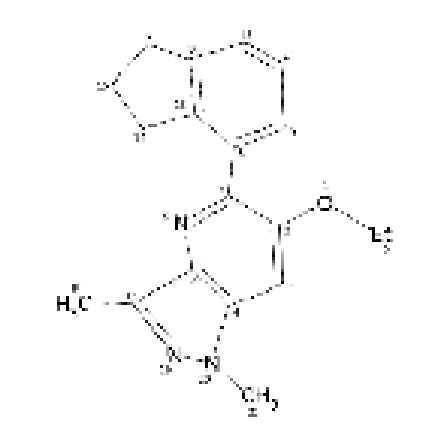 CCOc1cc2c(nc1-c1cccc3c1CCC3)c(C)nn2C